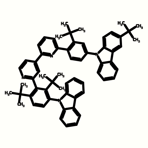 CC(C)(C)c1ccc2c(c1)c1ccccc1n2-c1ccc(-c2cccc(-c3ccnc(-c4c(C(C)(C)C)ccc(-n5c6ccccc6c6ccccc65)c4C(C)(C)C)c3)n2)c(C(C)(C)C)c1